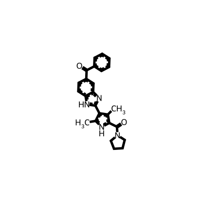 Cc1[nH]c(C(=O)N2CCCC2)c(C)c1-c1nc2cc(C(=O)c3ccccc3)ccc2[nH]1